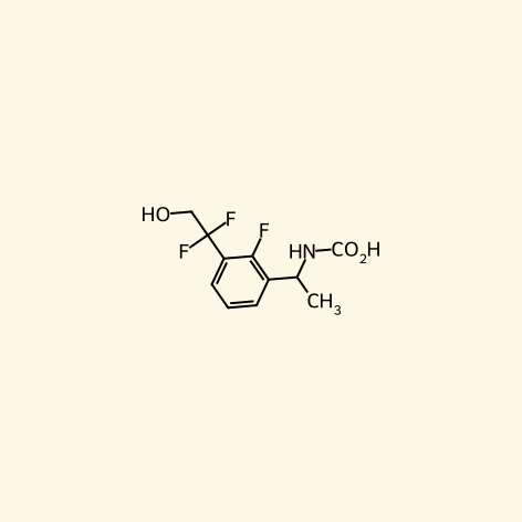 CC(NC(=O)O)c1cccc(C(F)(F)CO)c1F